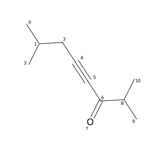 CC(C)CC#CC(=O)C(C)C